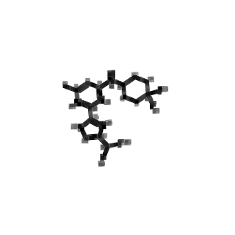 Cc1cc(NC2CCC(F)(F)CC2)nc(-c2nc(C(F)F)cs2)n1